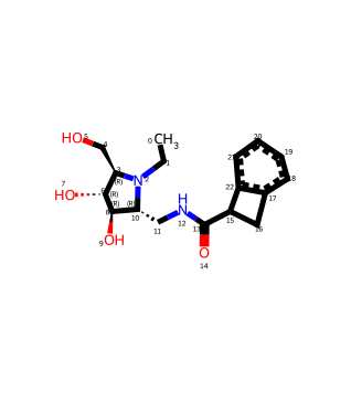 CCN1[C@H](CO)[C@@H](O)[C@H](O)[C@H]1CNC(=O)C1Cc2ccccc21